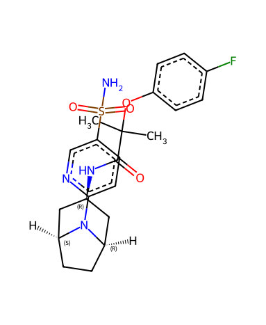 CC(C)(Oc1ccc(F)cc1)C(=O)N[C@H]1C[C@H]2CC[C@@H](C1)N2c1ccc(S(N)(=O)=O)cn1